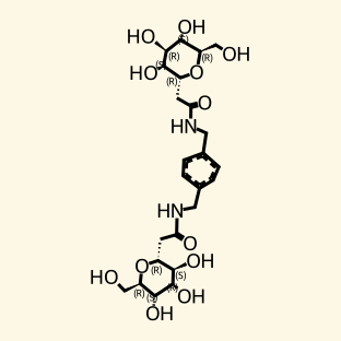 O=C(C[C@H]1O[C@H](CO)[C@@H](O)[C@H](O)[C@@H]1O)NCc1ccc(CNC(=O)C[C@H]2O[C@H](CO)[C@@H](O)[C@H](O)[C@@H]2O)cc1